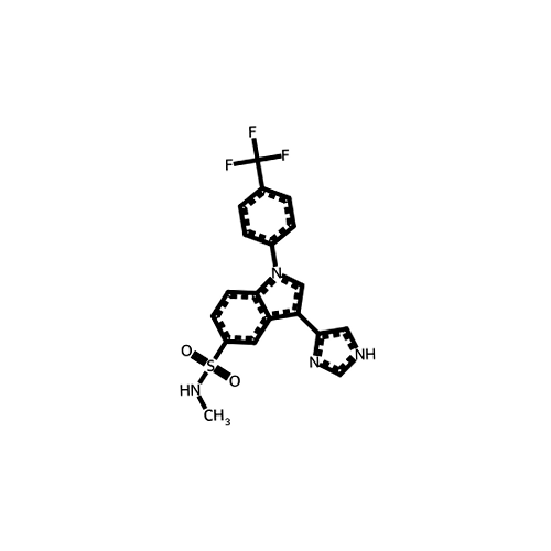 CNS(=O)(=O)c1ccc2c(c1)c(-c1c[nH]cn1)cn2-c1ccc(C(F)(F)F)cc1